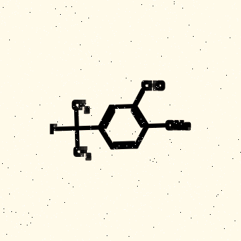 COc1ccc(C(F)(C(F)(F)F)C(F)(F)F)cc1C=O